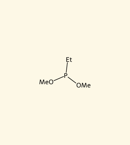 [CH2]CP(OC)OC